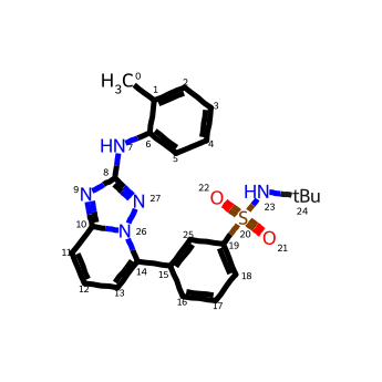 Cc1ccccc1Nc1nc2cccc(-c3cccc(S(=O)(=O)NC(C)(C)C)c3)n2n1